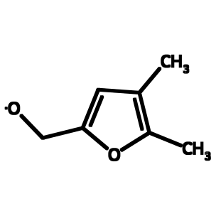 Cc1cc(C[O])oc1C